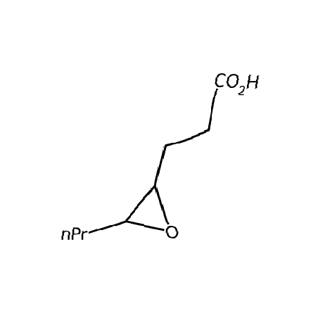 CCCC1OC1CCC(=O)O